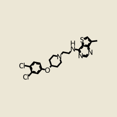 Cc1csc2c(NCCN3CCC(Oc4ccc(Cl)c(Cl)c4)CC3)ncnc12